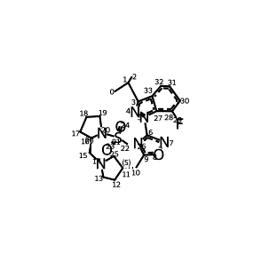 CC(C)c1nn(-c2noc(C[C@@H]3CCN(C[C@H]4CCCN4S(C)(=O)=O)C3)n2)c2c(F)cccc12